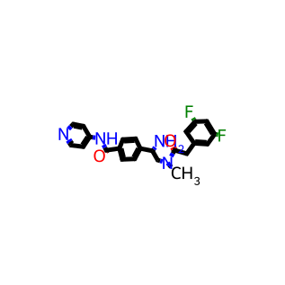 CN(CC(N)c1ccc(C(=O)Nc2ccncc2)cc1)C(=O)Cc1cc(F)cc(F)c1